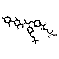 Cc1ccc(-c2cc(F)c(NC(=O)C(Cc3ccc(C(=O)NCCS(=O)(=O)O)cc3)c3ccc(/C=C/C(C)(C)C)cc3)cc2F)c(C)c1